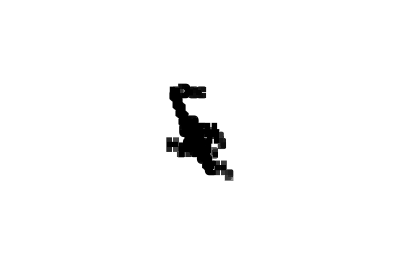 C=CCOCC(O)CN1C(C)(C)CC(OC(=O)CCCCCCCCCCCCCCCCC)CC1(C)C